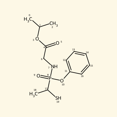 CC(C)OC(=O)CNP(=O)(Oc1ccccc1)C(C)S